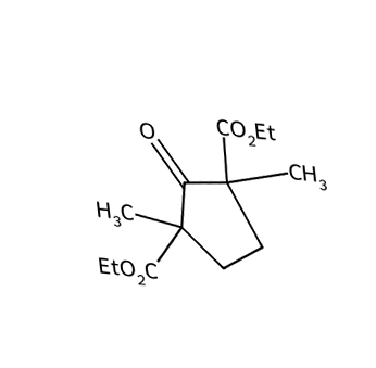 CCOC(=O)C1(C)CCC(C)(C(=O)OCC)C1=O